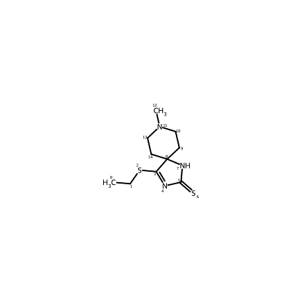 CCSC1=NC(=S)NC12CCN(C)CC2